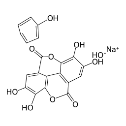 O=c1oc2c(O)c(O)cc3c(=O)oc4c(O)c(O)cc1c4c23.Oc1ccccc1.[Na+].[OH-]